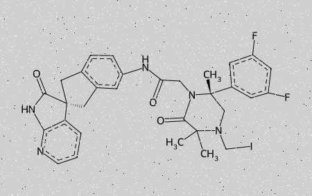 CC1(C)C(=O)N(CC(=O)Nc2ccc3c(c2)C[C@@]2(C3)C(=O)Nc3ncccc32)[C@](C)(c2cc(F)cc(F)c2)CN1CI